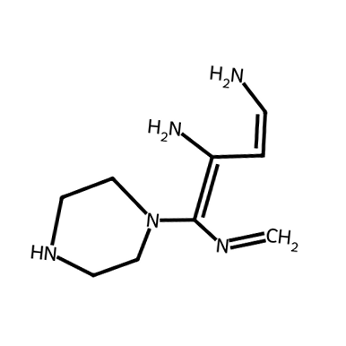 C=N/C(=C(N)\C=C/N)N1CCNCC1